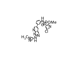 COc1ncc(Cl)cc1S(=O)(=O)Nc1cccc(-c2cnc3nc(Nc4cnn(C)c4)ncc3c2)c1